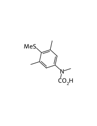 CSc1c(C)cc(N(C)C(=O)O)cc1C